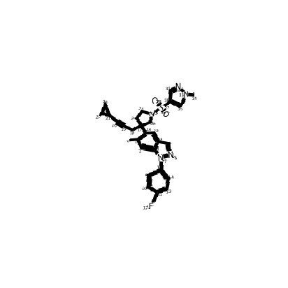 Cc1cc2c(cnn2-c2ccc(F)cc2)cc1C1(CC#CC2CC2)CCN(S(=O)(=O)c2cnn(C)c2)C1